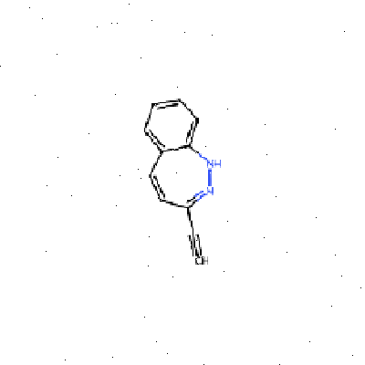 C#CC1=NNc2ccccc2C=C1